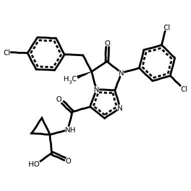 C[C@@]1(Cc2ccc(Cl)cc2)C(=O)N(c2cc(Cl)cc(Cl)c2)c2ncc(C(=O)NC3(C(=O)O)CC3)n21